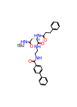 CC(C)(C)NC(=O)C[C@H](NC(=O)CCc1ccccc1)C(=O)NCCNC(=O)c1ccc(-c2ccccc2)cc1